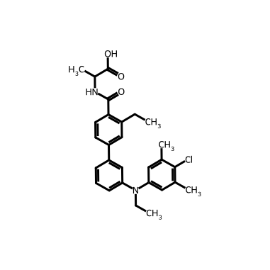 CCc1cc(-c2cccc(N(CC)c3cc(C)c(Cl)c(C)c3)c2)ccc1C(=O)NC(C)C(=O)O